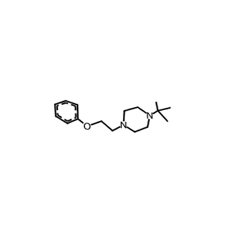 CC(C)(C)N1CCN(CCOc2ccccc2)CC1